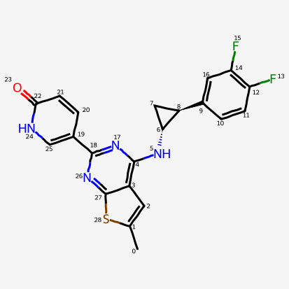 Cc1cc2c(N[C@@H]3C[C@H]3c3ccc(F)c(F)c3)nc(-c3ccc(=O)[nH]c3)nc2s1